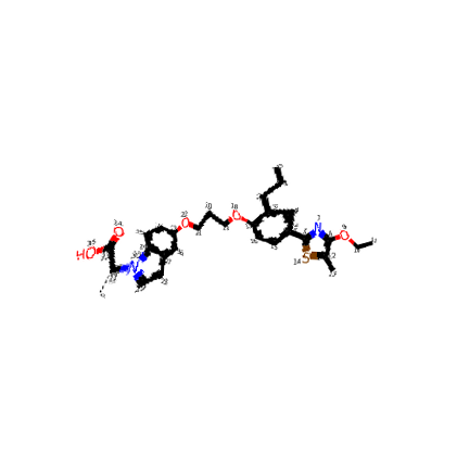 CCCc1cc(-c2nc(OCC)c(C)s2)ccc1OCCCOc1ccc2c(ccn2[C@H](C)C(=O)O)c1